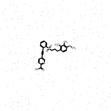 COc1ccc(CCCS(=O)(=O)c2ccccc2C#Cc2ccc(C(=O)O)nc2)c(C)c1C